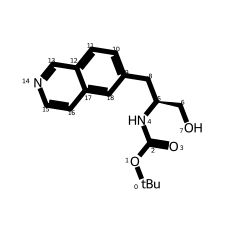 CC(C)(C)OC(=O)N[C@H](CO)Cc1ccc2cnccc2c1